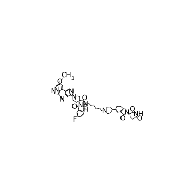 CCOc1cc(-c2ccc(N3CCC(NC(=O)c4cc(F)ccc4F)(C(=O)NCCCCCCN4CCC(c5ccc6c(c5)C(=O)N(C5CCC(=O)NC5=O)C6)CC4)CC3)nc2)c2c(C#N)cnn2c1